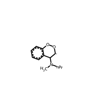 CCCN(C)C1[C]OOc2ccccc21